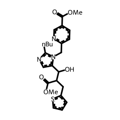 CCCCc1ncc(C(O)C(Cc2cccs2)C(=O)OC)n1Cc1ccc(C(=O)OC)cn1